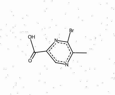 Cc1ncc(C(=O)O)nc1Br